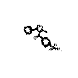 Cc1onc(-c2ccccc2)c1C(=O)c1ccc(S(N)(=O)=O)cc1